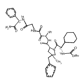 CCCC(NC(=O)C1CC(C)(Cc2ccccc2)CN1C(=O)[C@@H](NC(=O)OCC(C)C)C1CCCCC1)C(=O)C(=O)NCC(=O)N[C@H](C(N)=O)c1ccccc1